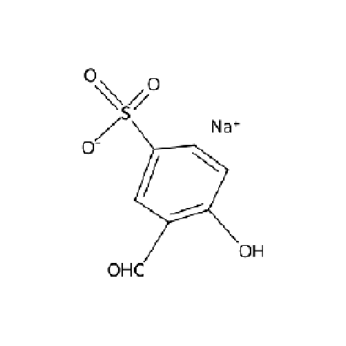 O=Cc1cc(S(=O)(=O)[O-])ccc1O.[Na+]